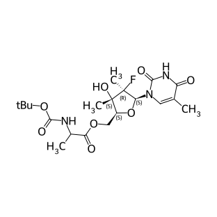 Cc1cn([C@H]2O[C@@H](COC(=O)C(C)NC(=O)OC(C)(C)C)[C@](C)(O)[C@@]2(C)F)c(=O)[nH]c1=O